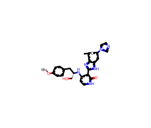 Cc1cc(-n2ccnc2)cc2[nH]c(-c3c(N[C@H](CO)Cc4ccc(OC(C)(C)C)cc4)cc[nH]c3=O)nc12